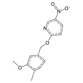 COc1cc(COc2ccc([N+](=O)[O-])cn2)ccc1C